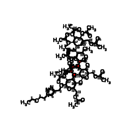 CCOCCn1cc(CO[C@@H]2O[C@H](COC(C)=O)[C@@H](O[C@H]3O[C@H](COC(C)=O)[C@@H](O[C@H]4O[C@H](C)[C@@H](N(C(C)=O)[C@H]5C=C(COC(C)=O)[C@@H](OC(C)=O)[C@H](OC(C)=O)[C@H]5OC(C)=O)[C@H](OC(C)=O)[C@H]4OC(C)=O)[C@H](OC(C)=O)[C@H]3OC(C)=O)[C@H](OC(C)=O)[C@H]2OC(C)=O)nn1